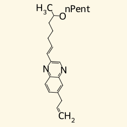 C=CCc1ccc2nc(C=CCCCC(C)OCCCCC)cnc2c1